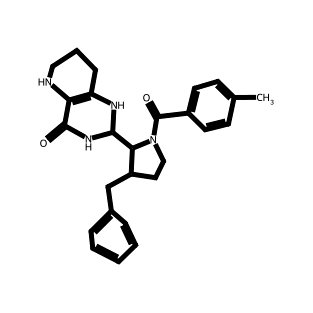 Cc1ccc(C(=O)N2CCC(Cc3ccccc3)C2C2NC(=O)C3=C(CCCN3)N2)cc1